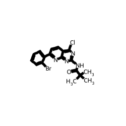 CC(C)(C)C(=O)Nc1nc(Cl)c2ccc(-c3ccccc3Br)nc2n1